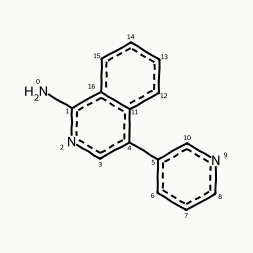 Nc1ncc(-c2cccnc2)c2ccccc12